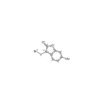 CC(=O)c1ccc2c(c1)oc(=O)n2CBr